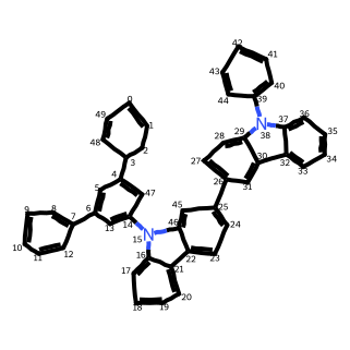 C1=CCC(c2cc(-c3ccccc3)cc(-n3c4ccccc4c4ccc(-c5ccc6c(c5)c5ccccc5n6-c5ccccc5)cc43)c2)C=C1